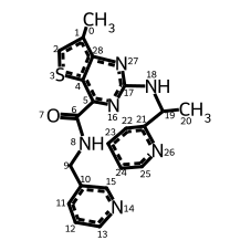 Cc1csc2c(C(=O)NCc3cccnc3)nc(NC(C)c3ccccn3)nc12